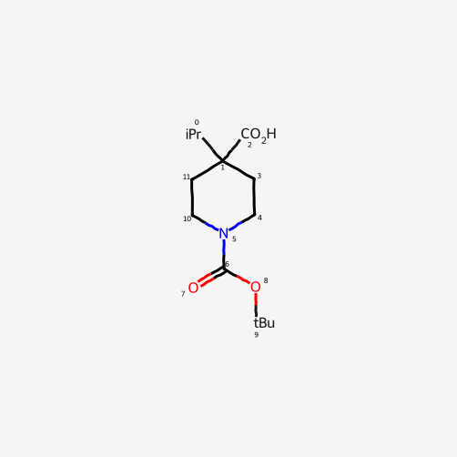 CC(C)C1(C(=O)O)CCN(C(=O)OC(C)(C)C)CC1